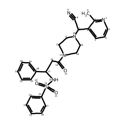 Cc1ncccc1C(C#N)N1CCN(C(=O)CC(NS(=O)(=O)c2ccccc2)c2ccccc2)CC1